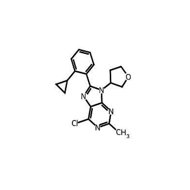 Cc1nc(Cl)c2nc(-c3ccccc3C3CC3)n(C3CCOC3)c2n1